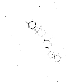 CC(=O)N1CCCC12CC[C@@H](C(=O)N[C@@H](C(=O)N1CC[C@](O)(c3ccc(Cl)cc3)C(C)(C)C1)C(C)C)C2